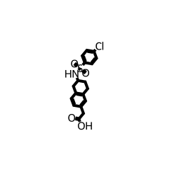 O=C(O)Cc1ccc2c(c1)CCC(NS(=O)(=O)c1ccc(Cl)cc1)C2